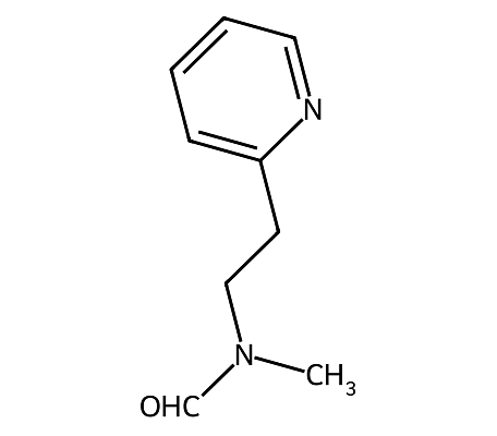 CN(C=O)CCc1ccccn1